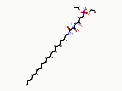 CCCCCCCCCCCCCCCCCCNC(=O)C(=O)NC(=O)CCP(=O)(OCC)OCC